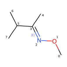 CO/N=C(\C)C(C)C